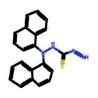 N=NC(=S)NN(c1cccc2ccccc12)c1cccc2ccccc12